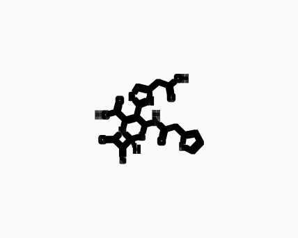 O=C(O)Cc1csc(C2=C(C(=O)O)N3C(=O)C(=S)[C@@H]3SC2NC(=O)Cc2cccs2)n1